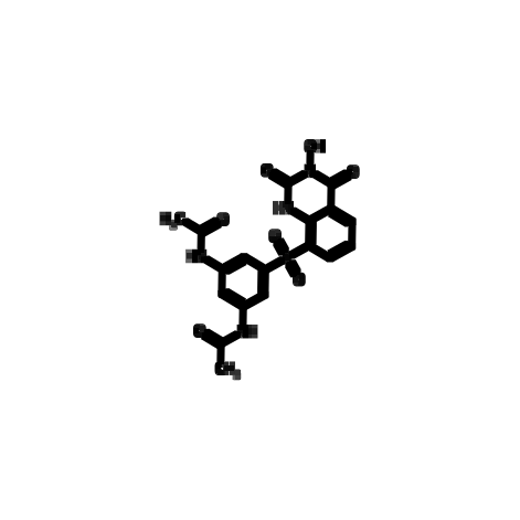 CC(=O)Nc1cc(NC(C)=O)cc(S(=O)(=O)c2cccc3c(=O)n(O)c(=O)[nH]c23)c1